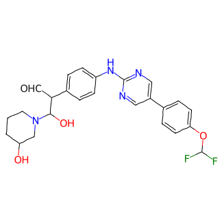 O=CC(c1ccc(Nc2ncc(-c3ccc(OC(F)F)cc3)cn2)cc1)C(O)N1CCCC(O)C1